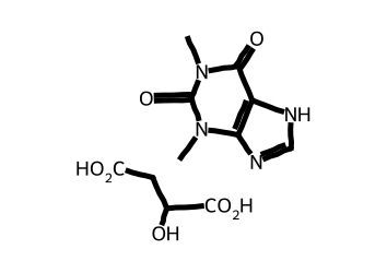 Cn1c(=O)c2[nH]cnc2n(C)c1=O.O=C(O)CC(O)C(=O)O